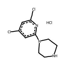 Cl.Clc1cc(Cl)nc(N2CCNCC2)c1